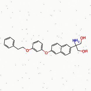 NC(CO)(CO)c1ccc2cc(Oc3cccc(OCCc4ccccc4)c3)ccc2c1